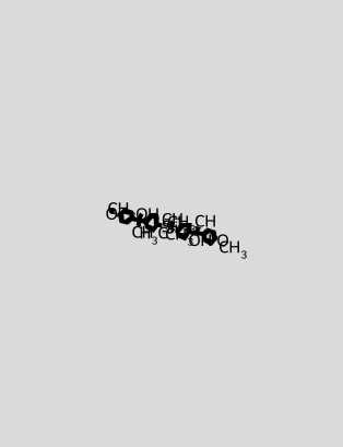 C#CC(O)(c1ccc(OC)cc1)c1ccc([Si](C)(C)[Si](C)(C)c2ccc(C(O)(C#C)c3ccc(OC)cc3)cc2)cc1